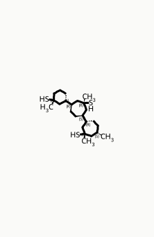 C[C@H]1CC[C@@H]([C@H]2CC[C@@H]([C@H]3CCC[C@@](C)(S)C3)C[C@@](C)(S)C2)C[C@@](C)(S)C1